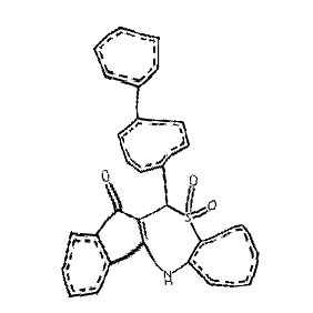 O=C1C2=C(Nc3ccccc3S(=O)(=O)C2c2ccc(-c3ccccc3)cc2)c2ccccc21